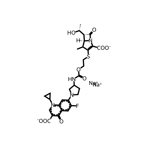 CC1C(SCCOC(=O)NC2CCN(c3cc4c(cc3F)c(=O)c(C(=O)[O-])cn4C3CC3)C2)=C(C(=O)[O-])N2C(=O)[C@@H]([C@@H](C)O)[C@H]12.[Na+].[Na+]